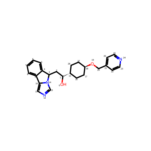 OC(CC1c2ccccc2-c2cncn21)[C@H]1CC[C@H](OCc2ccncc2)CC1